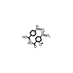 C=O.NNc1ccc(C(=O)O)cc1.NNc1ccc(C(=O)O)cc1